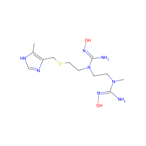 Cc1[nH]cnc1CSCCN(CCN(C)C(N)=NO)C(N)=NO